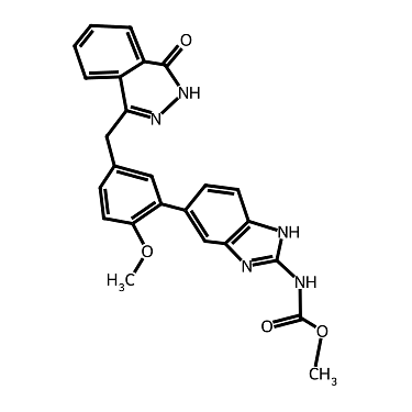 COC(=O)Nc1nc2cc(-c3cc(Cc4n[nH]c(=O)c5ccccc45)ccc3OC)ccc2[nH]1